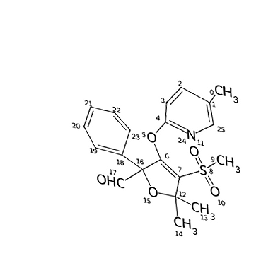 Cc1ccc(OC2=C(S(C)(=O)=O)C(C)(C)OC2(C=O)c2ccccc2)nc1